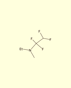 CCN(C)C(F)(F)C(F)F